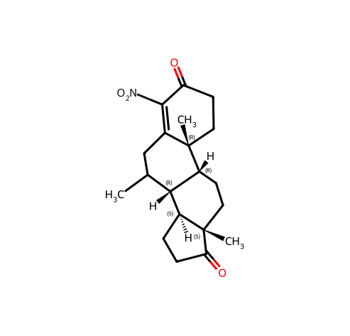 CC1CC2=C([N+](=O)[O-])C(=O)CC[C@]2(C)[C@@H]2CC[C@]3(C)C(=O)CC[C@H]3[C@H]12